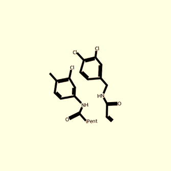 C=CC(=O)NCc1ccc(Cl)c(Cl)c1.CCCC(C)C(=O)Nc1ccc(C)c(Cl)c1